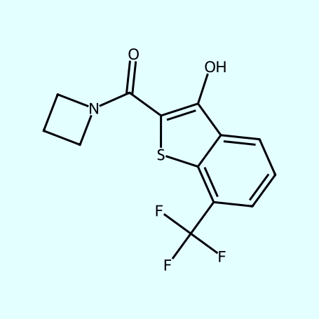 O=C(c1sc2c(C(F)(F)F)cccc2c1O)N1CCC1